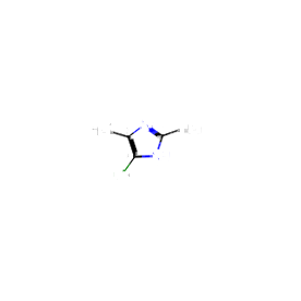 CCCCc1nc(C(C)(C)C)c(Cl)[nH]1